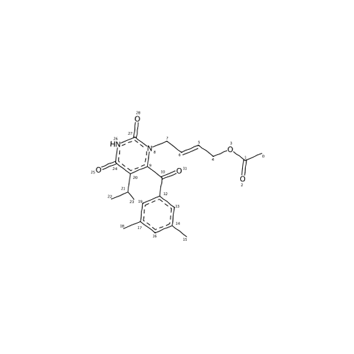 CC(=O)OC/C=C/Cn1c(C(=O)c2cc(C)cc(C)c2)c(C(C)C)c(=O)[nH]c1=O